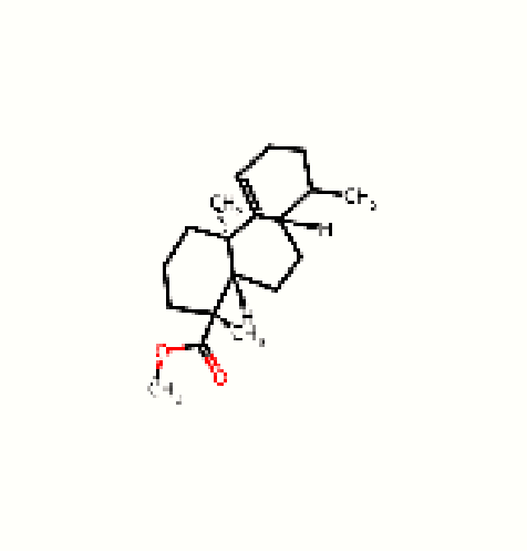 COC(=O)[C@]1(C)CCC[C@@]2(C)C3=CCCC(C)[C@@H]3CC[C@H]12